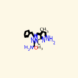 Cc1cc(N)nc(C)c1Cn1nc(C(N)=O)nc1Cc1ccccc1